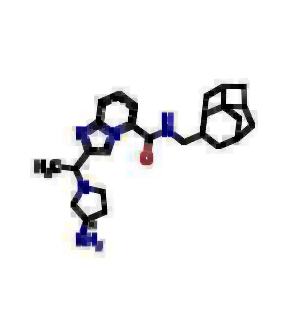 CC(c1cn2c(C(=O)NCC34CC5CC6CC(C3)C6(C5)C4)cccc2n1)N1CC[C@@H](N)C1